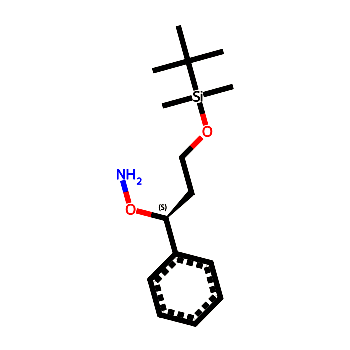 CC(C)(C)[Si](C)(C)OCC[C@H](ON)c1ccccc1